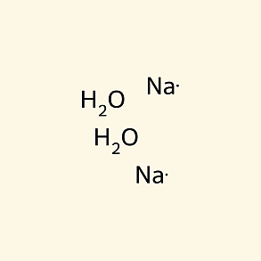 O.O.[Na].[Na]